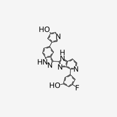 Oc1cncc(-c2ccc3[nH]nc(-c4nc5c(-c6cc(O)cc(F)c6)nccc5[nH]4)c3c2)c1